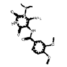 COc1ccc(C(=O)Nc2c(N)n(N(C)C)c(=O)[nH]c2=O)cc1OC